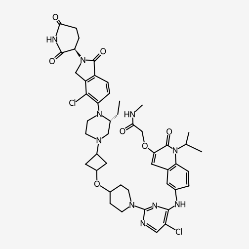 CC[C@@H]1CN(C2CC(OC3CCN(c4ncc(Cl)c(Nc5ccc6c(c5)cc(OCC(=O)NC)c(=O)n6C(C)C)n4)CC3)C2)CCN1c1ccc2c(c1Cl)CN([C@@H]1CCC(=O)NC1=O)C2=O